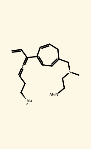 C=CC(=C=CCC[C@H](C)CC)C1=CC=C(CN(C)CCNC)CC=C1